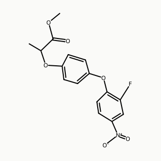 COC(=O)C(C)Oc1ccc(Oc2ccc([N+](=O)[O-])cc2F)cc1